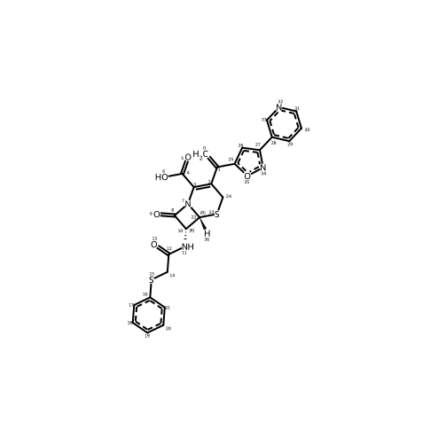 C=C(C1=C(C(=O)O)N2C(=O)[C@@H](NC(=O)CSc3ccccc3)[C@H]2SC1)c1cc(-c2cccnc2)no1